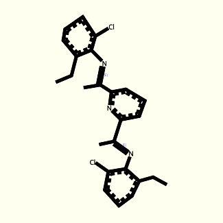 CCc1cccc(Cl)c1/N=C(\C)c1cccc(/C(C)=N/c2c(Cl)cccc2CC)n1